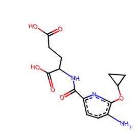 Nc1ccc(C(=O)NC(CCC(=O)O)C(=O)O)nc1OC1CC1